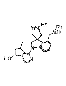 CCNC[C@@]1(C)CN(c2ncnc3c2[C@H](C)C[C@H]3O)c2cccc(CNC(C)C)c21